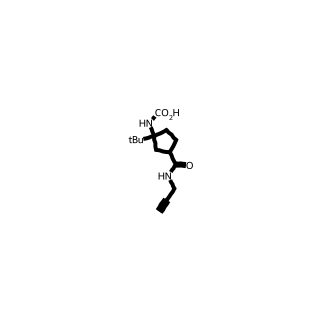 C#CCNC(=O)C1CCC(NC(=O)O)(C(C)(C)C)C1